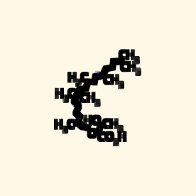 C=C(C/C=C(\C)CCC=C(C)C)CCC(C)(C)/C=C/CC/C(C)=C\COC(C(=O)O)C(C)O